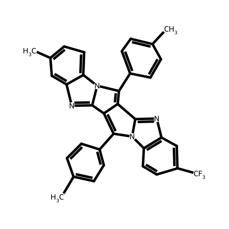 Cc1ccc(-c2c3c(c(-c4ccc(C)cc4)n4c5ccc(C(F)(F)F)cc5nc34)c3nc4cc(C)ccc4n23)cc1